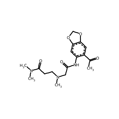 CC(=O)c1cc2c(cc1NC(=O)CN(C)CCC(=O)N(C)C)OCO2